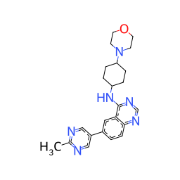 Cc1ncc(-c2ccc3ncnc(NC4CCC(N5CCOCC5)CC4)c3c2)cn1